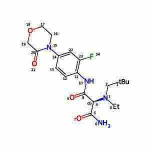 CCN(CC(C)(C)C)[C@@H](C(N)=O)C(=O)Nc1ccc(N2CCOCC2=O)cc1F